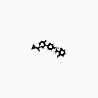 CC1=C(c2ccc(NC(=O)c3c(F)cccc3F)cc2)CN(C(=O)C2CC2)CC1